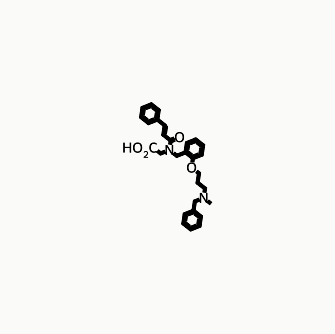 CN(CCCOc1ccccc1CN(CC(=O)O)C(=O)/C=C/c1ccccc1)Cc1ccccc1